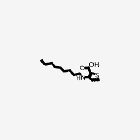 CCCCCCCCCNc1ccsc1C(=O)O